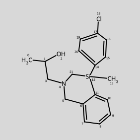 CC(O)CN1Cc2ccccc2[Si](C)(c2ccc(Cl)cc2)C1